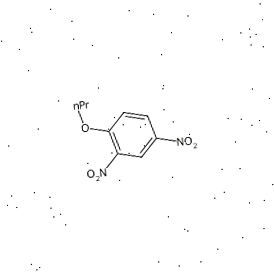 CCCOc1ccc([N+](=O)[O-])cc1[N+](=O)[O-]